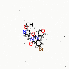 COc1ccc(Cn2c(=O)c3cc(Br)ccc3n(C3CCOCC3)c2=O)cn1